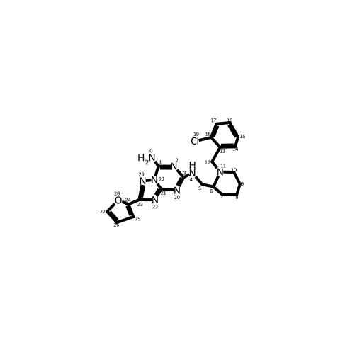 Nc1nc(NCC2CCCCN2Cc2ccccc2Cl)nc2nc(-c3ccco3)nn12